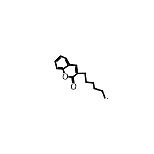 [CH2]CCCCCc1cc2ccccc2oc1=O